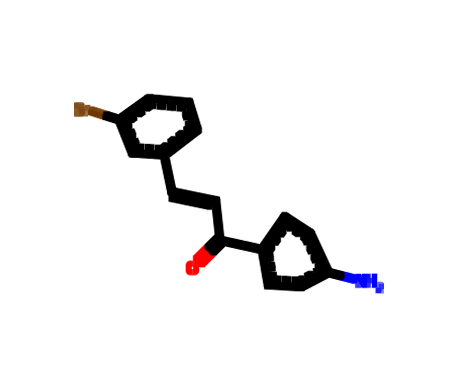 Nc1ccc(C(=O)C=Cc2cccc(Br)c2)cc1